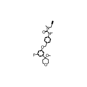 C#CCN(C)C(=O)N(C)c1ccc(COc2cc(F)cc(C3(OC)CCOCC3)c2)cc1